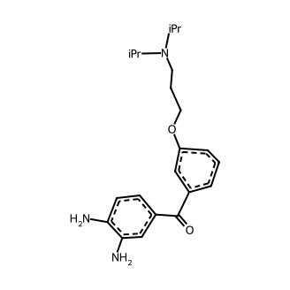 CC(C)N(CCCOc1cccc(C(=O)c2ccc(N)c(N)c2)c1)C(C)C